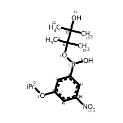 CC(C)Oc1cc(B(O)OC(C)(C)C(C)(C)O)cc([N+](=O)[O-])c1